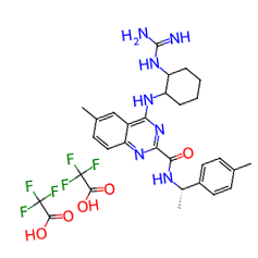 Cc1ccc([C@H](C)NC(=O)c2nc(NC3CCCCC3NC(=N)N)c3cc(C)ccc3n2)cc1.O=C(O)C(F)(F)F.O=C(O)C(F)(F)F